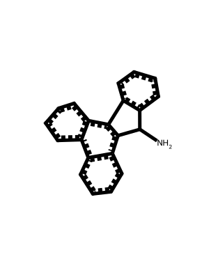 NC1c2ccccc2-c2c1c1ccccc1c1ccccc21